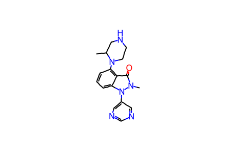 CC1CNCCN1c1cccc2c1c(=O)n(C)n2-c1cncnc1